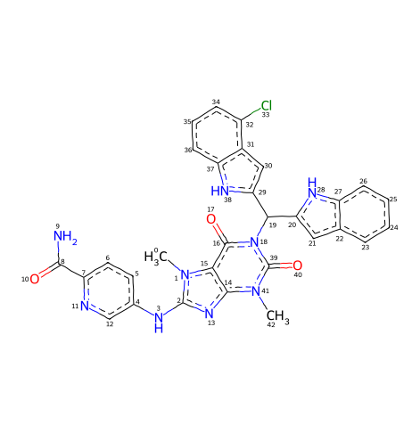 Cn1c(Nc2ccc(C(N)=O)nc2)nc2c1c(=O)n(C(c1cc3ccccc3[nH]1)c1cc3c(Cl)cccc3[nH]1)c(=O)n2C